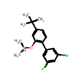 C[SiH](C)Oc1cc(C(C)(C)C)ccc1-c1cc(F)cc(Br)c1